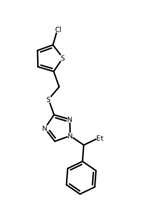 CCC(c1ccccc1)n1cnc(SCc2ccc(Cl)s2)n1